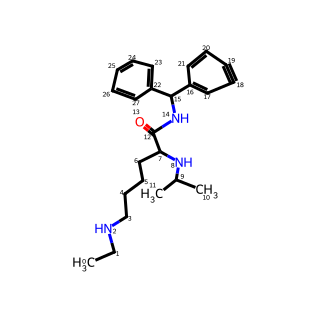 CCNCCCCC(NC(C)C)C(=O)NC(c1cc#ccc1)c1ccccc1